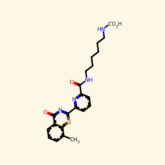 Cc1cccc2c(=O)nc(-c3cccc(C(=O)NCCCCCCNC(=O)O)n3)sc12